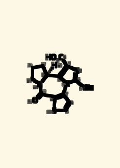 CC(C)(C)c1nc(C(=O)O)c2n1-c1ccsc1C(=O)N1CCC[C@@H]21